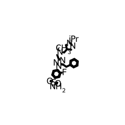 CC(C)N1CC(CN(C)Cc2nc(Cc3ccccc3)n(-c3ccc(S(N)(=O)=O)cc3F)n2)C=N1